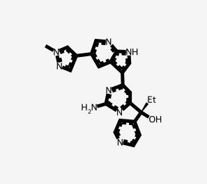 CC[C@@](O)(c1ccncc1)c1cc(-c2c[nH]c3ncc(-c4cnn(C)c4)cc23)nc(N)n1